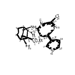 CCOC(=O)[C@@H]1C2CCC(CC2)[C@H]1Nc1cc(-c2ccsc2)nc(Cl)n1